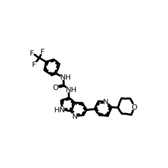 O=C(Nc1ccc(C(F)(F)F)cc1)Nc1c[nH]c2ncc(-c3ccc(C4CCOCC4)nc3)cc12